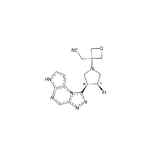 CC[C@@H]1CN(C2(CC#N)COC2)C[C@@H]1c1nnc2cnc3[nH]ccc3n12